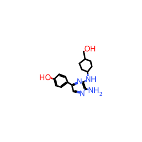 Nc1ncc(-c2ccc(O)cc2)nc1NC1CCC(CO)CC1